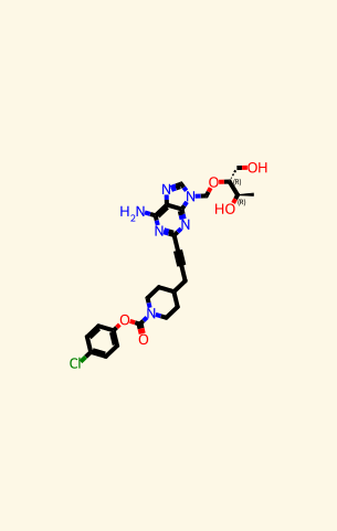 C[C@@H](O)[C@@H](CO)OCn1cnc2c(N)nc(C#CCC3CCN(C(=O)Oc4ccc(Cl)cc4)CC3)nc21